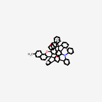 Cc1ccc2c3c(ccc2c1)C1(c2ccccc2-c2cc(-c4ccccc4N(c4ccccc4)c4cccc5c4-c4ccccc4C5(c4ccccc4)c4ccccc4)ccc21)c1ccc2cc(C)ccc2c1O3